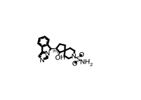 NS(=O)(=O)N1CCC2(CC[C@H](C3c4ccccc4-c4cncn43)[C@@H]2O)CC1